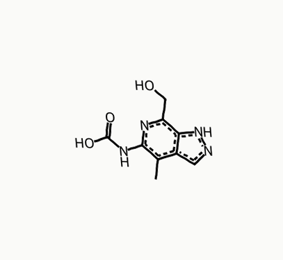 Cc1c(NC(=O)O)nc(CO)c2[nH]ncc12